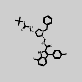 CC(C)(C)OC(=O)NC[C@H]1C[C@@H](CNC(=O)c2[nH]c3c(F)cccc3c2-c2ccc(F)cc2)N(Cc2ccccc2)C1